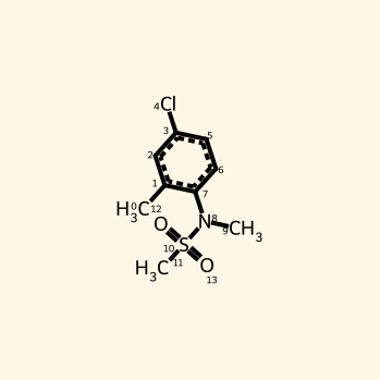 Cc1cc(Cl)ccc1N(C)S(C)(=O)=O